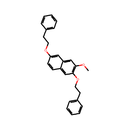 COc1cc2cc(OCCc3ccccc3)ccc2cc1OCCc1ccccc1